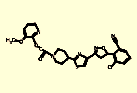 COc1cccnc1OCC(=O)N1CCC(c2nc(C3=NOC(c4c(Cl)cccc4C#N)C3)cs2)CC1